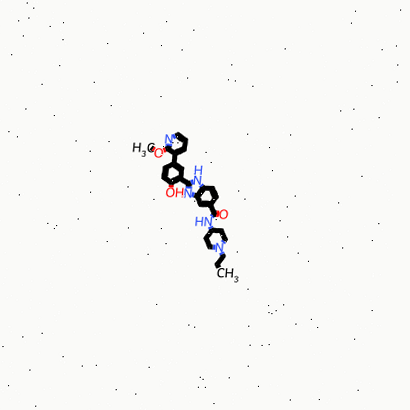 CCCN1CCC(NC(=O)c2ccc3[nH]c(-c4cc(-c5cccnc5OC)ccc4O)nc3c2)CC1